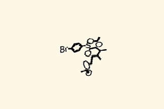 CC(=O)OCC1OC(Sc2ccc(Br)cc2)C(OC(C)=O)C(C)C1C